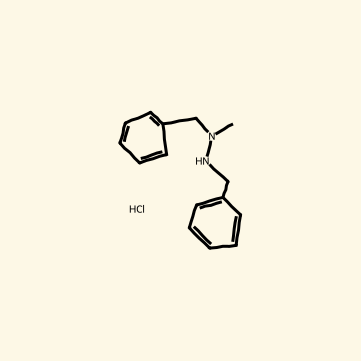 CN(Cc1ccccc1)NCc1ccccc1.Cl